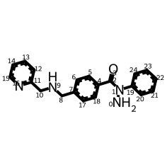 NN(C(=O)c1ccc(CNCc2ccccn2)cc1)c1ccccc1